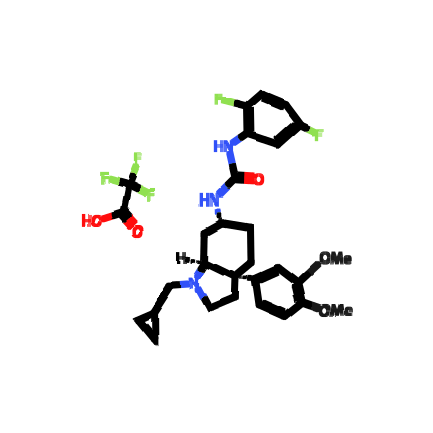 COc1ccc([C@@]23CC[C@@H](NC(=O)Nc4cc(F)ccc4F)C[C@@H]2N(CC2CC2)CC3)cc1OC.O=C(O)C(F)(F)F